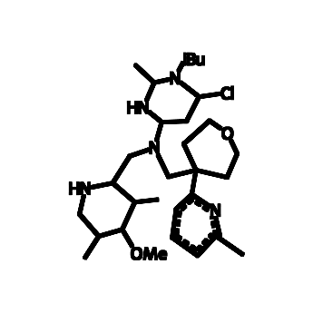 CCC(C)N1C(Cl)CC(N(CC2NCC(C)C(OC)C2C)CC2(c3cccc(C)n3)CCOCC2)NC1C